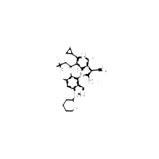 Cc1c(F)cc2c(cnn2C2CCCCO2)c1-n1c(N)c(C#N)c2cnc(C3CC3)c(CCC(F)(F)F)c21